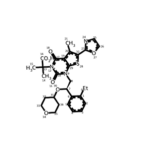 CCc1ccccc1[C@H](Cn1c(=O)n(C(C)(C)C(=O)O)c(=O)c2c(C)c(-c3ncco3)sc21)OC1CCOCC1